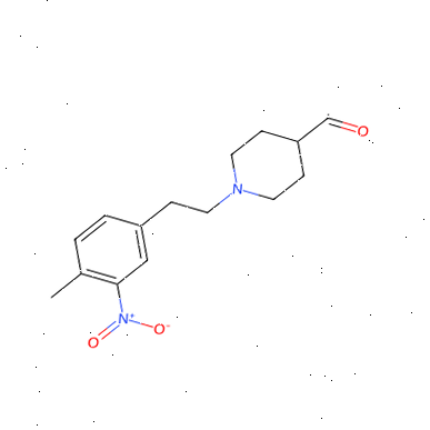 Cc1ccc(CCN2CCC([C]=O)CC2)cc1[N+](=O)[O-]